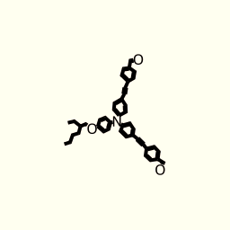 CCCCC(CC)COc1ccc(N(c2ccc(C#Cc3ccc(C=O)cc3)cc2)c2ccc(C#Cc3ccc(C=O)cc3)cc2)cc1